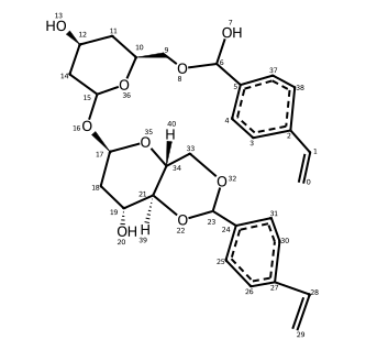 C=Cc1ccc(C(O)OC[C@@H]2C[C@H](O)CC(O[C@@H]3C[C@@H](O)[C@@H]4OC(c5ccc(C=C)cc5)OC[C@H]4O3)O2)cc1